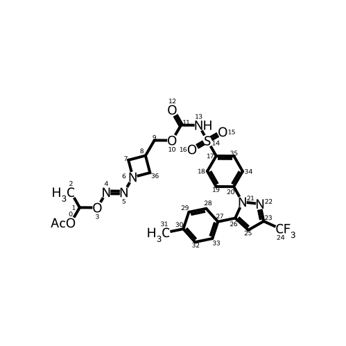 CC(=O)OC(C)ON=NN1CC(COC(=O)NS(=O)(=O)c2ccc(-n3nc(C(F)(F)F)cc3-c3ccc(C)cc3)cc2)C1